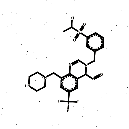 CC(Cl)S(=O)(=O)c1cccc(CN2C=Nc3c(CN4CCNCC4)cc(C(F)(F)F)cc3C2C=O)c1